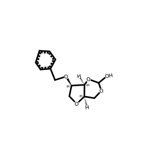 OC1OC[C@H]2OC[C@@H](OCc3ccccc3)[C@H]2O1